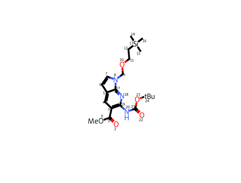 COC(=O)c1cc2ccn(COCC[Si](C)(C)C)c2nc1NC(=O)OC(C)(C)C